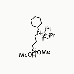 CO[SiH](CCCN(C1CCCCC1)[Si](C(C)C)(C(C)C)C(C)C)OC